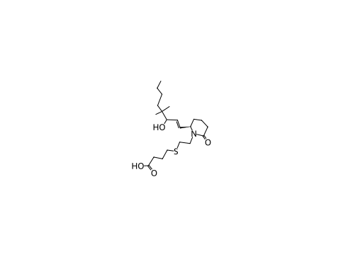 CCCCC(C)(C)C(O)/C=C/[C@H]1CCCC(=O)N1CCSCCCC(=O)O